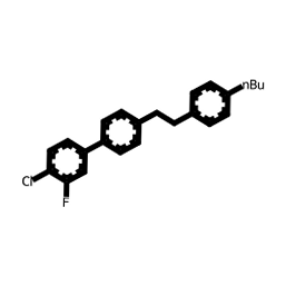 CCCCc1ccc(CCc2ccc(-c3ccc(Cl)c(F)c3)cc2)cc1